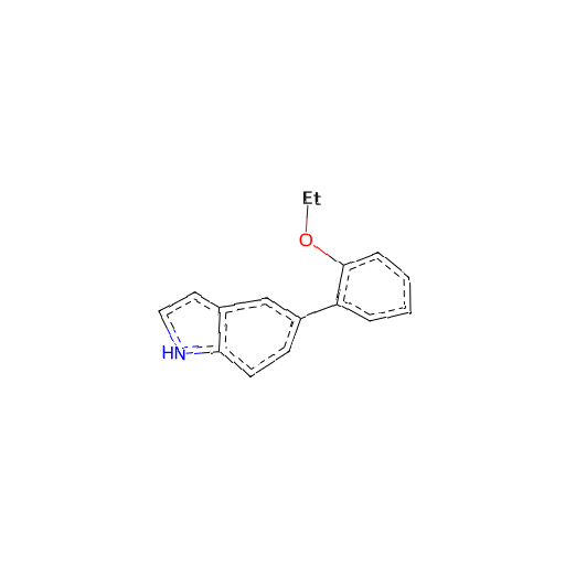 CCOc1ccccc1-c1ccc2[nH]ccc2c1